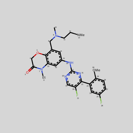 CCN1C(=O)COc2c(CN(C)CCNC)cc(Nc3ncc(F)c(-c4cc(F)ccc4OC)n3)cc21